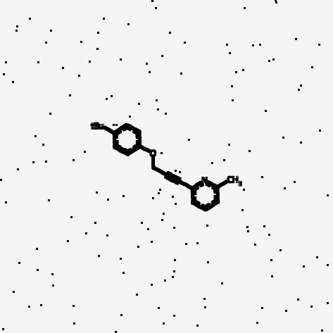 Cc1cccc(C#CCOc2ccc(C(C)(C)C)cc2)n1